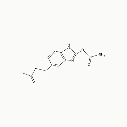 C=C(C)CSc1ccc2[nH]c(OC(N)=O)nc2c1